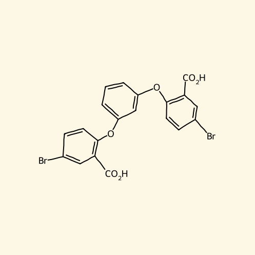 O=C(O)c1cc(Br)ccc1Oc1cccc(Oc2ccc(Br)cc2C(=O)O)c1